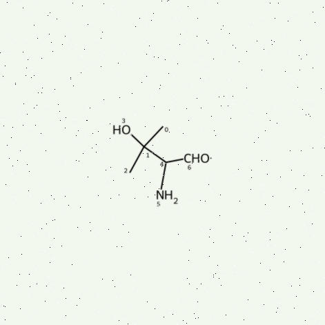 CC(C)(O)C(N)[C]=O